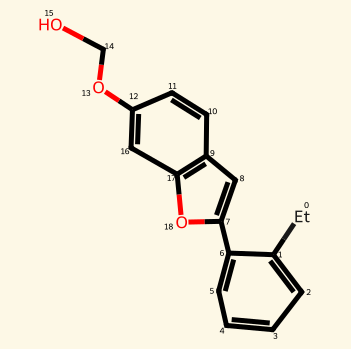 CCc1ccccc1-c1cc2ccc(OCO)cc2o1